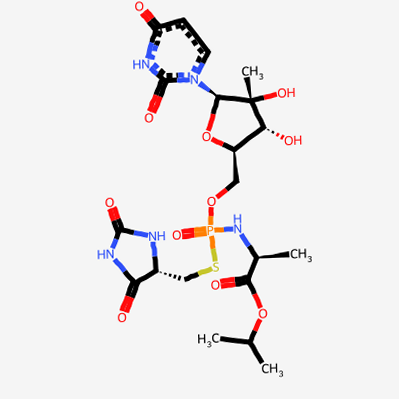 CC(C)OC(=O)[C@H](C)NP(=O)(OC[C@H]1O[C@@H](n2ccc(=O)[nH]c2=O)[C@](C)(O)[C@@H]1O)SC[C@H]1NC(=O)NC1=O